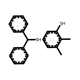 Cc1cccc(S)c1C.SC(c1ccccc1)c1ccccc1